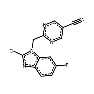 N#Cc1cnc(Cn2c(Cl)nc3ccc(F)cc32)nc1